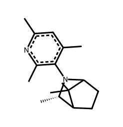 Cc1cc(C)c(N2C3CCC([C@@H]2C)C3(C)C)c(C)n1